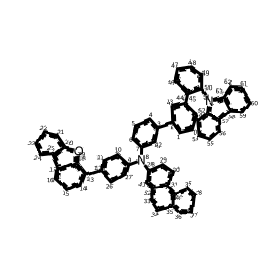 c1cc(-c2cccc(N(c3ccc(-c4cccc5c4oc4ccccc45)cc3)c3ccc4c(ccc5ccccc54)c3)c2)cc(-c2ccccc2-n2c3ccccc3c3ccccc32)c1